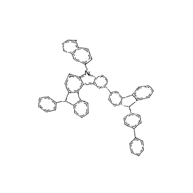 c1ccc(-c2ccc(C3c4ccccc4-c4cc(-c5ccc6c(c5)c5c7c(ccc5n6-c5ccc6ccccc6c5)C(c5ccccc5)c5ccccc5-7)ccc43)cc2)cc1